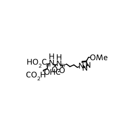 COCc1cn(CCCC[C@H](NC(=O)N[C@@H](CCC(=O)O)C(=O)O)OC=O)nn1